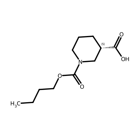 CCCCOC(=O)N1CCC[C@H](C(=O)O)C1